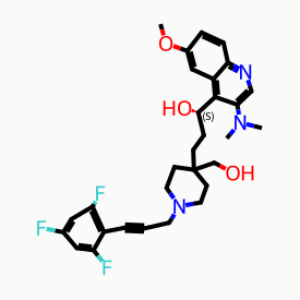 COc1ccc2ncc(N(C)C)c([C@@H](O)CCC3(CO)CCN(CC#Cc4c(F)cc(F)cc4F)CC3)c2c1